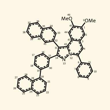 COc1cc2cc(-c3ccccc3)n3nc(-c4cccc(-c5cccc6ccccc56)c4)c(-c4ccc5ccccc5c4)c3c2cc1OC